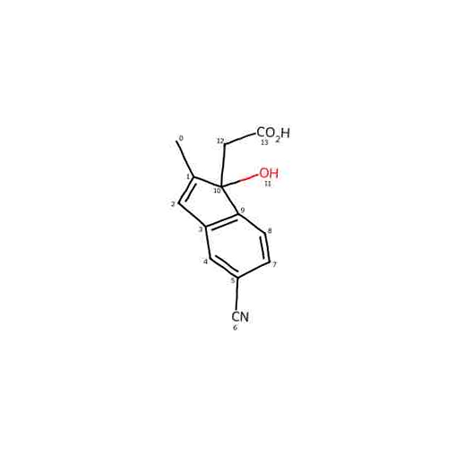 CC1=Cc2cc(C#N)ccc2C1(O)CC(=O)O